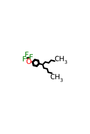 CCCCCC(CCCCC)c1ccc(OC(F)(F)F)cc1